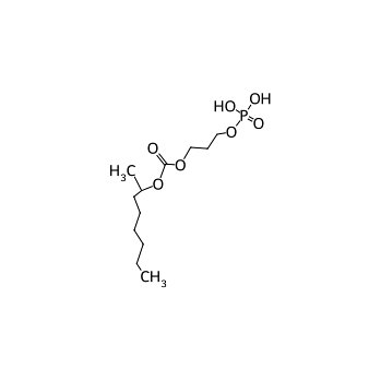 CCCCCCC(C)OC(=O)OCCCOP(=O)(O)O